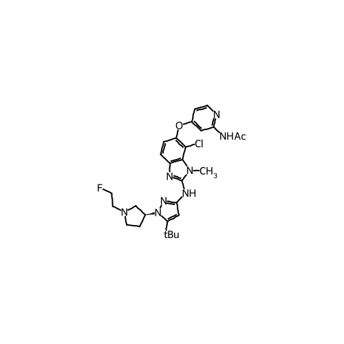 CC(=O)Nc1cc(Oc2ccc3nc(Nc4cc(C(C)(C)C)n([C@H]5CCN(CCF)C5)n4)n(C)c3c2Cl)ccn1